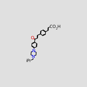 CC(C)CN1CCN(c2ccc(C(=O)/C=C/c3ccc(/C=C/C(=O)O)cc3)cc2)CC1